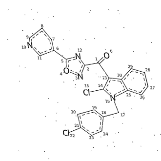 O=C(c1noc(-c2cccnc2)n1)c1c(Cl)n(Cc2ccc(Cl)cc2)c2ccccc12